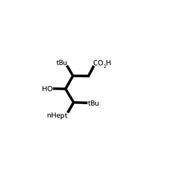 CCCCCCCC(C(O)C(CC(=O)O)C(C)(C)C)C(C)(C)C